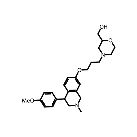 COc1ccc(C2CN(C)Cc3cc(OCCCN4CCOC(CO)C4)ccc32)cc1